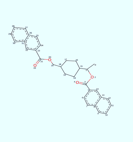 CC(OC(=O)c1ccc2ccccc2c1)C1CCC(COC(=O)c2ccc3ccccc3c2)CC1